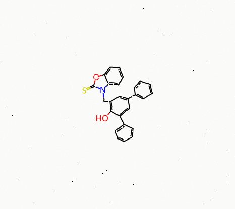 Oc1c(Cn2c(=S)oc3ccccc32)cc(-c2ccccc2)cc1-c1ccccc1